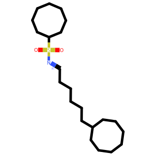 O=S(=O)(/N=C/CCCCCC1CCCCCCC1)C1CCCCCCC1